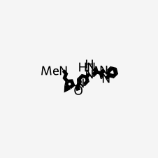 CNCCC1C[C@@H](C(=O)N2CCC(N/C=C(\C=N)c3cnc4ccccc4n3)CC2)C2CC12